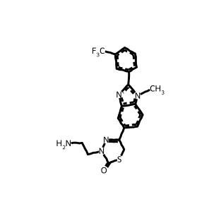 Cn1c(-c2cccc(C(F)(F)F)c2)nc2cc(C3=NN(CCN)C(=O)SC3)ccc21